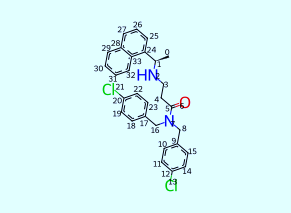 C[C@@H](NCCC(=O)N(Cc1ccc(Cl)cc1)Cc1ccc(Cl)cc1)c1cccc2ccccc12